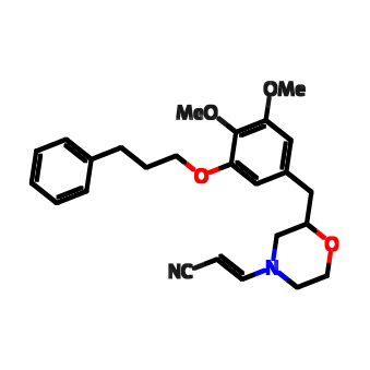 COc1cc(CC2CN(C=CC#N)CCO2)cc(OCCCc2ccccc2)c1OC